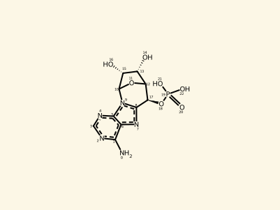 Nc1ncnc2c1nc1n2C2OC([C@@H](O)[C@H]2O)[C@H]1OP(=O)(O)O